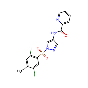 Cc1cc(Cl)c(S(=O)(=O)n2cc(NC(=O)c3ccccn3)cn2)cc1F